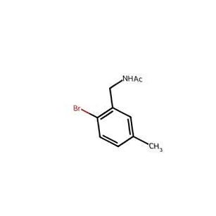 CC(=O)NCc1cc(C)ccc1Br